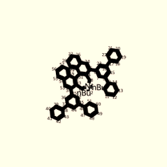 CCCC[N+]1(CCCC)Cc2c(-c3cc(-c4ccccc4)cc(-c4ccccc4)c3)cc3ccccc3c2-c2c(c(-c3cc(-c4ccccc4)cc(-c4ccccc4)c3)cc3ccccc23)C1